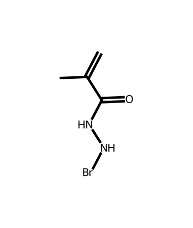 C=C(C)C(=O)NNBr